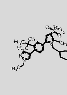 CCn1cc(-c2ccc(-c3cc(S(N)(=O)=O)c(C)n3CC3CCCCC3)cc2C(C)(C)C)cn1